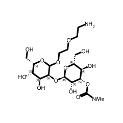 CNC(=O)O[C@@H]1[C@H](O)[C@@H](O[C@@H]2C(OCCOCCN)O[C@@H](CO)[C@@H](O)[C@@H]2O)O[C@H](CO)[C@H]1O